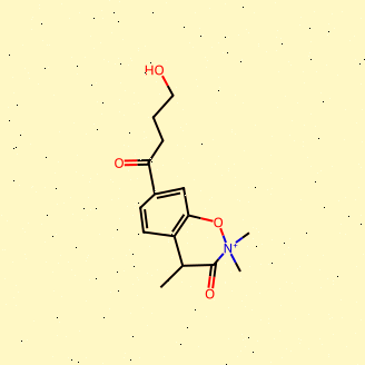 CC1C(=O)[N+](C)(C)Oc2cc(C(=O)CCCO)ccc21